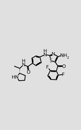 CC(NC(=O)c1ccc(Nc2nc(N)c(C(=O)c3c(F)cccc3F)s2)cc1)[C@@H]1CCCN1